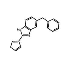 C1=CC(c2nc3cc(Cc4ccccc4)ccc3[nH]2)=CC1